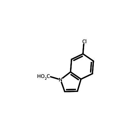 O=C(O)n1ccc2ccc(Cl)cc21